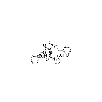 C[C@@H](OCc1ccccc1)[C@@H](C(=O)OCc1ccccc1)N(C)C[C@]1(C=O)CCCN1C(=O)OC(C)(C)C